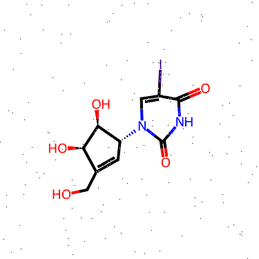 O=c1[nH]c(=O)n([C@@H]2C=C(CO)[C@@H](O)[C@H]2O)cc1I